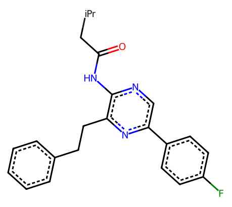 CC(C)CC(=O)Nc1ncc(-c2ccc(F)cc2)nc1CCc1ccccc1